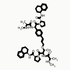 CN[C@@H](C)C(=O)NC(C(=O)N1CCC[C@H]1C(=O)N[C@@H]1CCCc2ccccc21)[C@@H](C)OCC=Cc1ccc([C@H](NC(=O)[C@H](C)NC)C(=O)N2CCC[C@H]2C(=O)N[C@@H]2CCCc3ccccc32)cc1